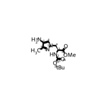 COC(=O)[C@H](Cn1cc(N)c(C)n1)NC(=O)OC(C)(C)C